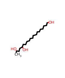 CC(O)CCC(O)CCCCCCCCCCCCCCCO